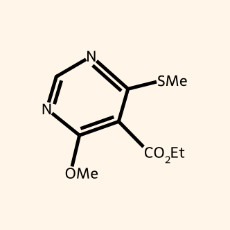 CCOC(=O)c1c(OC)ncnc1SC